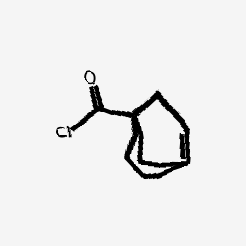 O=C(Cl)C12CC=C(CC1)C2